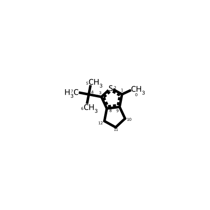 Cc1sc(C(C)(C)C)c2c1CCC2